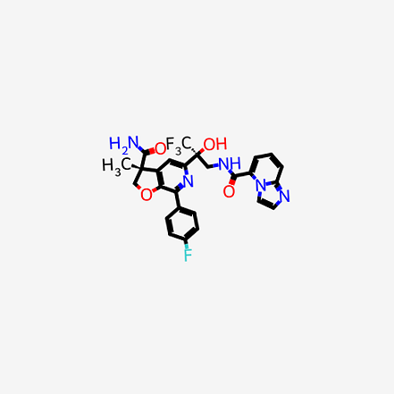 C[C@]1(C(N)=O)COc2c1cc([C@@](O)(CNC(=O)c1cccc3nccn13)C(F)(F)F)nc2-c1ccc(F)cc1